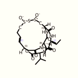 C/C=C1\NC(=O)[C@H]2C[S+]([O-])S[S+]([O-])CC/C=C/[C@H](CC(=O)N[C@H](C(C)C)C(=O)N2)OC(=O)C(C(C)C)NC1=O